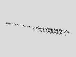 CCCCCCCCCCCCCCCCCCCCCCCCC[SiH2]O[SiH2]O[SiH2]O[SiH2]O[SiH2]O[SiH2]O[SiH2]O[SiH2]O[SiH2]O[SiH2]O[SiH2]O[SiH3]